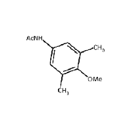 COc1c(C)cc(NC(C)=O)cc1C